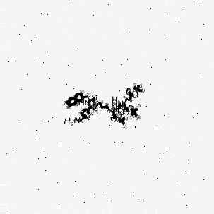 CC(C)(C)OC(=O)CC[C@H](NC(=O)N[C@@H](CCCCNC(=O)[C@H](Cc1ccc2ccccc2c1)NC(=O)c1ccc(CN)nc1)C(=O)OC(C)(C)C)C(=O)OC(C)(C)C